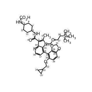 Cc1c(C(=O)NC2CCC(NC(=O)O)CC2)c2nccc(-c3c(OCC4CC4)ccc4c3OCO4)c2n1COCC[Si](C)(C)C